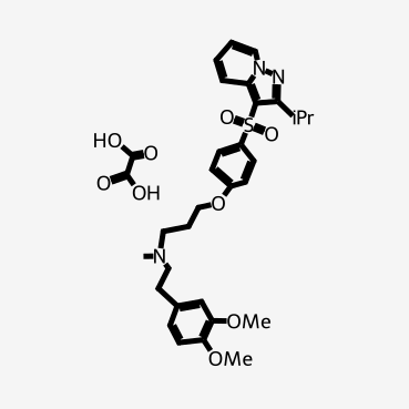 COc1ccc(CCN(C)CCCOc2ccc(S(=O)(=O)c3c(C(C)C)nn4ccccc34)cc2)cc1OC.O=C(O)C(=O)O